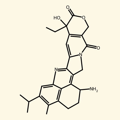 CCC1(O)C(=O)OCc2c1cc1n(c2=O)Cc2c-1nc1cc(C(C)C)c(C)c3c1c2C(N)CC3